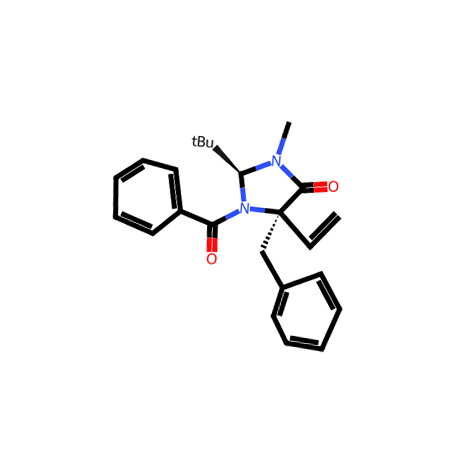 C=C[C@]1(Cc2ccccc2)C(=O)N(C)[C@H](C(C)(C)C)N1C(=O)c1ccccc1